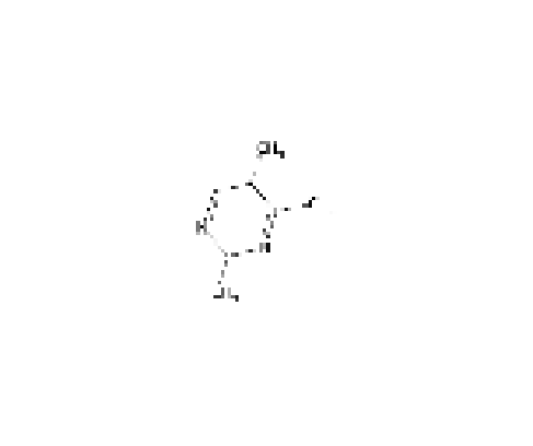 CC1=NC(C)N=C[C@@H]1C